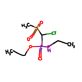 CCOP(=O)(PCC)C(Cl)S(C)(=O)=O